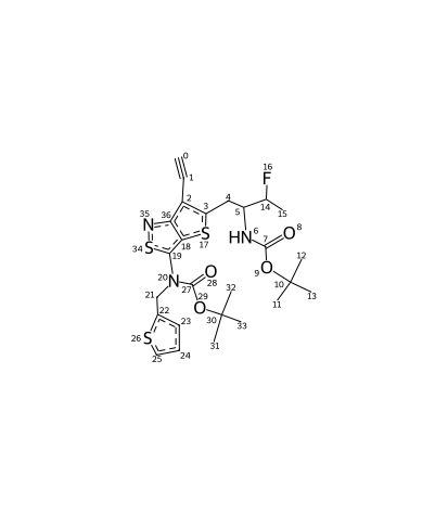 C#Cc1c(CC(NC(=O)OC(C)(C)C)C(C)F)sc2c(N(Cc3cccs3)C(=O)OC(C)(C)C)snc12